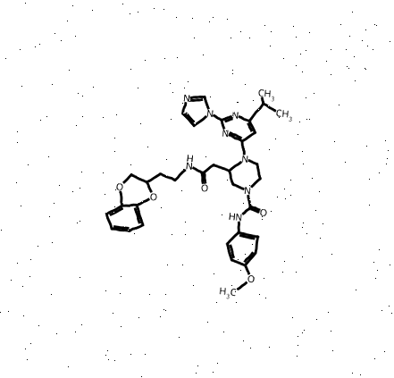 COc1ccc(NC(=O)N2CCN(c3cc(C(C)C)nc(-n4ccnc4)n3)C(CC(=O)NCCC3COc4ccccc4O3)C2)cc1